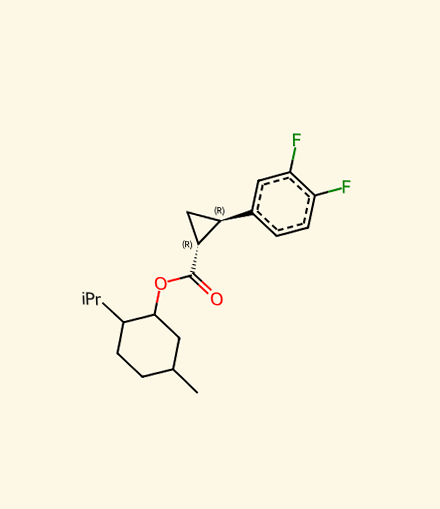 CC1CCC(C(C)C)C(OC(=O)[C@@H]2C[C@H]2c2ccc(F)c(F)c2)C1